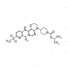 Cc1nc(S(C)(=O)=O)ccc1Nc1ncnc2c1OCCN2C1CCN(C(=O)OC(C)C)CC1